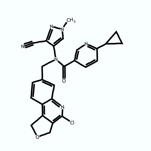 Cn1cc(N(Cc2ccc3c4c(c(Cl)nc3c2)COC4)C(=O)c2ccc(C3CC3)nc2)c(C#N)n1